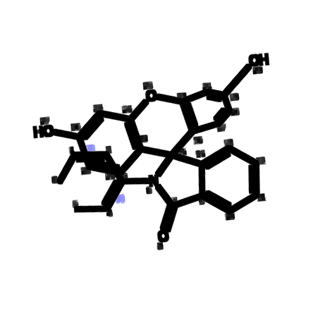 C/C=C\C(=C/C)N1C(=O)c2ccccc2C12c1ccc(O)cc1Oc1cc(O)ccc12